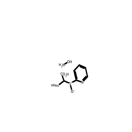 CCCCCCC(C(=O)O)[S+]([O-])c1ccccn1.NO